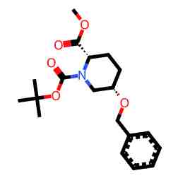 COC(=O)[C@@H]1CC[C@H](OCc2ccccc2)CN1C(=O)OC(C)(C)C